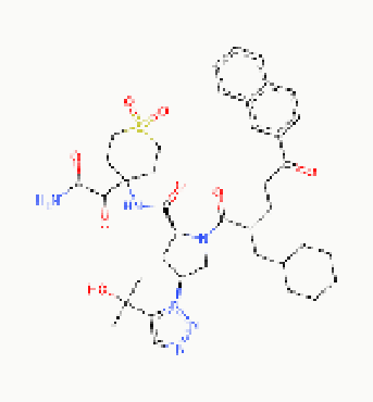 CC(C)(O)c1cnnn1[C@H]1C[C@@H](C(=O)NC2(C(=O)C(N)=O)CCS(=O)(=O)CC2)N(C(=O)[C@H](CCC(=O)c2ccc3ccccc3c2)CC2CCCCC2)C1